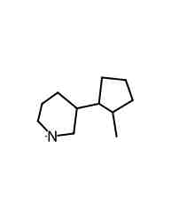 CC1CCCC1C1CCC[N]C1